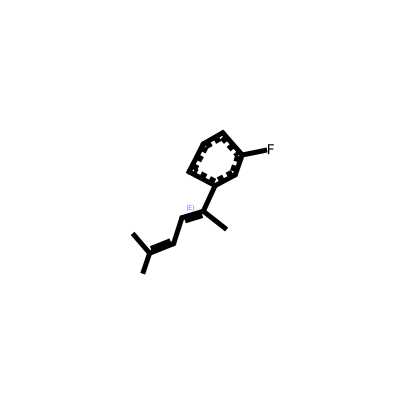 CC(C)=C/C=C(\C)c1cccc(F)c1